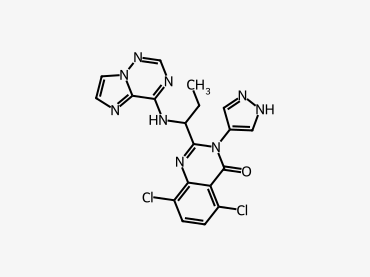 CCC(Nc1ncnn2ccnc12)c1nc2c(Cl)ccc(Cl)c2c(=O)n1-c1cn[nH]c1